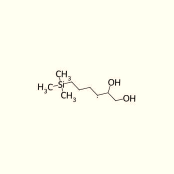 C[Si](C)(C)CCC[CH]C(O)CO